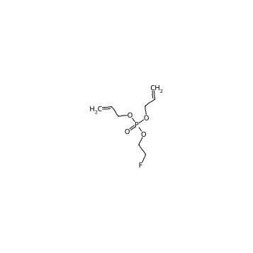 C=CCOP(=O)(OCC=C)OCCF